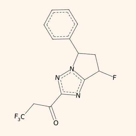 O=C(CC(F)(F)F)c1nc2n(n1)C(c1ccccc1)CC2F